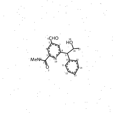 CNC(=O)c1cc(C=O)cc(C(c2ccccc2)C(C)O)n1